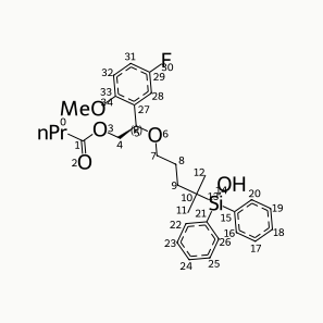 CCCC(=O)OC[C@H](OCCCC(C)(C)[Si](O)(c1ccccc1)c1ccccc1)c1cc(F)ccc1OC